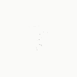 C=CC(=O)OCCC(C)CCCCCC